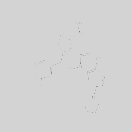 Cc1cc(C)cc(-c2nn(-c3cc(N4CCCC4)ccc3C(F)(F)F)c(=O)c3c2CCN3C(N)=O)c1